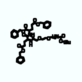 CC(C)(C)OC(=O)NCCOCCOCC(=O)NC(CCC(=O)OCc1ccccc1)C(=O)NC(CCC(=O)OCc1ccccc1)C(=O)OCc1ccccc1